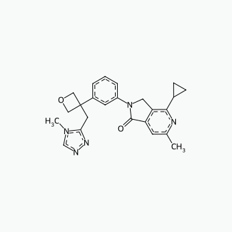 Cc1cc2c(c(C3CC3)n1)CN(c1cccc(C3(Cc4nncn4C)COC3)c1)C2=O